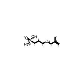 C=C(C)COCCCP(=O)(O)O